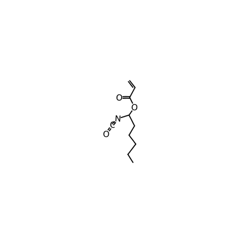 C=CC(=O)OC(CCCCC)N=C=O